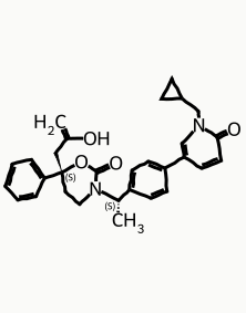 C=C(O)C[C@]1(c2ccccc2)CCN([C@@H](C)c2ccc(-c3ccc(=O)n(CC4CC4)c3)cc2)C(=O)O1